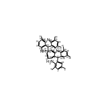 Cc1cc(C)c(N)c(C(C2=CC=CC(C)(C(c3cc(C)ccc3N)c3cc(C)cc(C)c3N)C=C2)c2cc(C)cc(C)c2N)c1